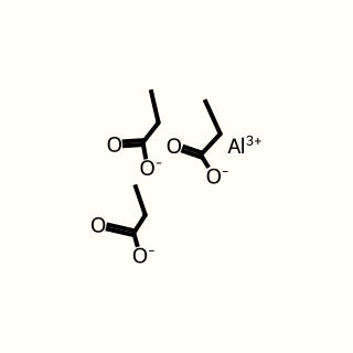 CCC(=O)[O-].CCC(=O)[O-].CCC(=O)[O-].[Al+3]